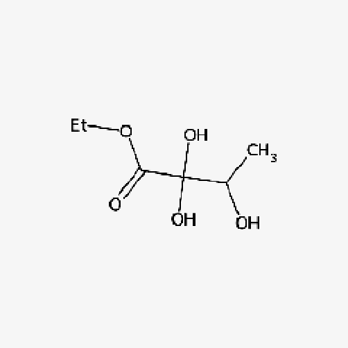 CCOC(=O)C(O)(O)C(C)O